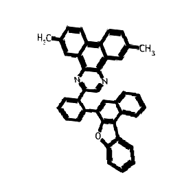 Cc1ccc2c3ccc(C)cc3c3nc(-c4ccccc4-c4cc5ccccc5c5c4oc4ccccc45)cnc3c2c1